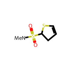 CNS(=O)(=O)C1CC=CS1